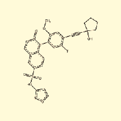 COc1cc(C#CC2(O)CCCC2)c(F)cc1-n1c(=O)ccc2cc(S(=O)(=O)Nc3ccon3)ccc21